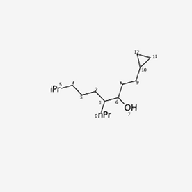 CCCC(CCCC(C)C)C(O)CCC1CC1